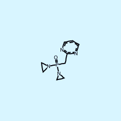 O=P(Cc1ncccn1)(N1CC1)N1CC1